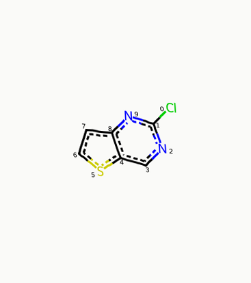 Clc1ncc2sccc2n1